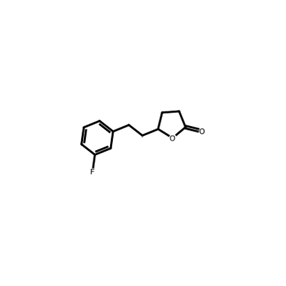 O=C1CCC([CH]Cc2cccc(F)c2)O1